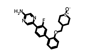 Nc1cnc(-c2ccc(-c3ccccc3OCC3CC[S+]([O-])CC3)cc2F)cn1